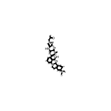 CC(=O)Cn1cc(Nc2nc(-c3cccc(N4CCc5cc(N(C)C)ccc5C4=O)c3CO)cn(C)c2=O)cn1